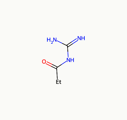 CCC(=O)NC(=N)N